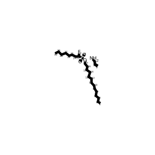 C=CCN.CCCCCCCCCCCCCCOS(=O)(=O)C(F)CCCCCCC